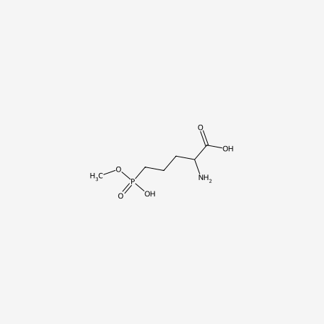 COP(=O)(O)CCCC(N)C(=O)O